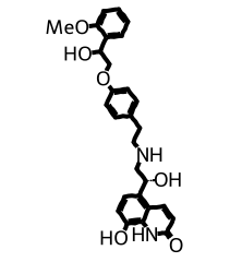 COc1ccccc1C(O)COc1ccc(CCNC[C@H](O)c2ccc(O)c3[nH]c(=O)ccc23)cc1